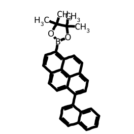 CC1(C)OB(c2ccc3ccc4c(-c5cccc6ccccc56)ccc5ccc2c3c54)OC1(C)C